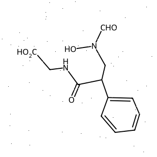 O=CN(O)CC(C(=O)NCC(=O)O)c1ccccc1